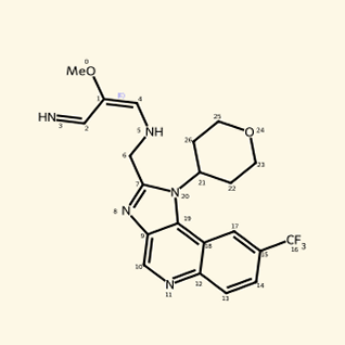 CO/C(C=N)=C/NCc1nc2cnc3ccc(C(F)(F)F)cc3c2n1C1CCOCC1